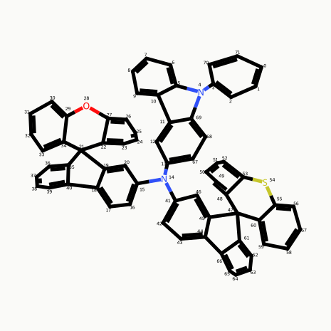 c1ccc(-n2c3ccccc3c3cc(N(c4ccc5c(c4)C4(c6ccccc6Oc6ccccc64)c4ccccc4-5)c4ccc5c(c4)C4(c6ccccc6Sc6ccccc64)c4ccccc4-5)ccc32)cc1